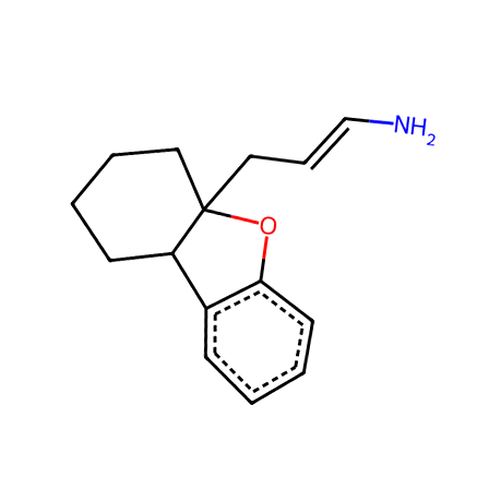 NC=CCC12CCCCC1c1ccccc1O2